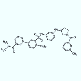 COc1ccc(-c2cccc(C(=O)N(C)C)c2)cc1S(=O)(=O)Nc1cccc(N[C@H]2CCN(C(=O)c3cccc(C)c3)C2)c1